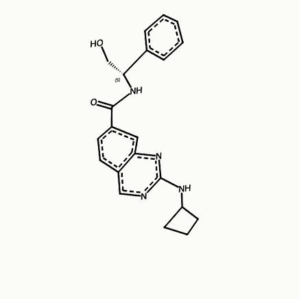 O=C(N[C@H](CO)c1ccccc1)c1ccc2cnc(NC3CCC3)nc2c1